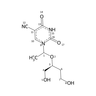 CC(O[C@H](CO)CCO)n1cc(C#N)c(=O)[nH]c1=O